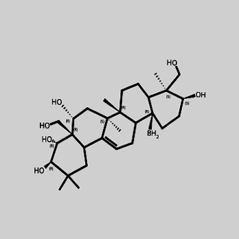 B[C@]12CC[C@H](O)[C@](C)(CO)C1CC[C@]1(C)C2CC=C2C3CC(C)(C)[C@@H](O)[C@H](O)[C@]3(CO)[C@H](O)C[C@]21C